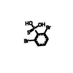 OP(O)(=S)c1c(Br)cccc1Br